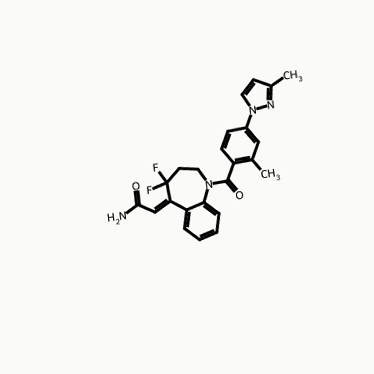 Cc1ccn(-c2ccc(C(=O)N3CCC(F)(F)/C(=C\C(N)=O)c4ccccc43)c(C)c2)n1